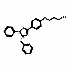 OCCCOc1ccc(C2=N[C@H](Cc3ccccc3)[C@@H](c3ccccc3)O2)cc1